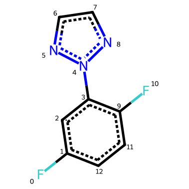 Fc1[c]c(-n2nccn2)c(F)cc1